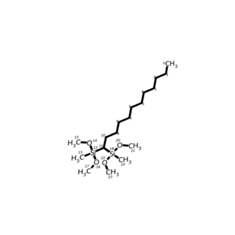 CCCCCCCCCCCC([Si](C)(OC)OC)[Si](C)(OC)OC